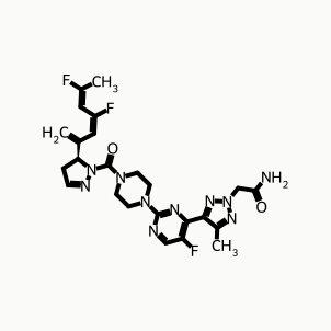 C=C(/C=C(F)\C=C(/C)F)[C@@H]1CC=NN1C(=O)N1CCN(c2ncc(F)c(-c3nn(CC(N)=O)nc3C)n2)CC1